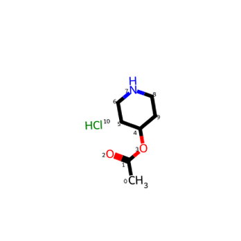 CC(=O)OC1CCNCC1.Cl